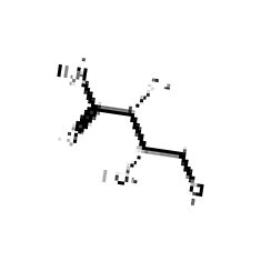 NC(=O)[C@H](Cl)[C@@H](O)CCl